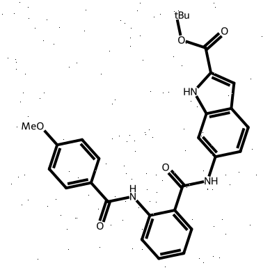 COc1ccc(C(=O)Nc2ccccc2C(=O)Nc2ccc3cc(C(=O)OC(C)(C)C)[nH]c3c2)cc1